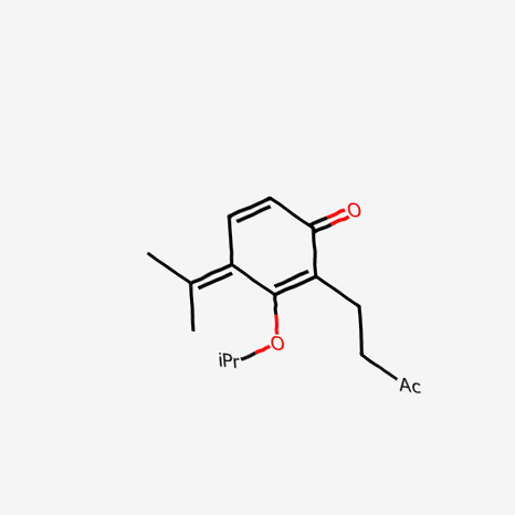 CC(=O)CCC1=C(OC(C)C)C(=C(C)C)C=CC1=O